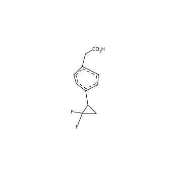 O=C(O)Cc1ccc(C2CC2(F)F)cc1